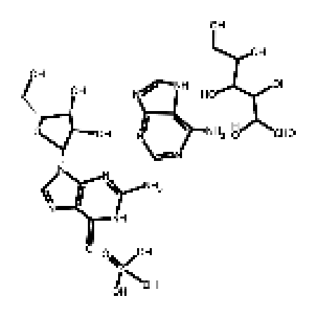 Nc1nc2c(ncn2[C@@H]2O[C@H](CO)[C@@H](O)[C@H]2O)c(=O)[nH]1.Nc1ncnc2nc[nH]c12.O=CC(O)C(O)C(O)C(O)CO.O=P(O)(O)O